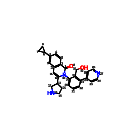 O=c1c2ccc(C3CC3)cc2cc(C2CCNC2)n1-c1cccc(-c2ccncc2)c1CO